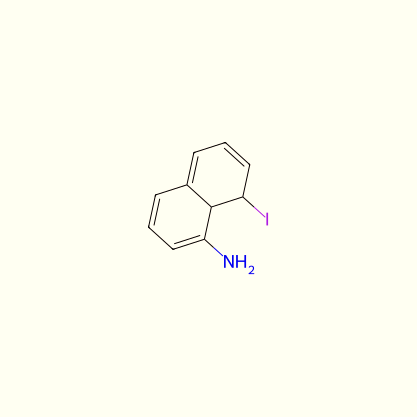 NC1=CC=CC2=CC=CC(I)C12